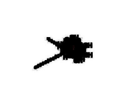 CCCCCCCCCCCCC/C=C/[C@@H](O)[C@H](CO[C@@H]1OC(CO)[C@@H](O[C@@H]2OC(CO)[C@H](O)[C@H](O[C@@H]3OC(CO)[C@@H](O[C@@H]4OC(CO)[C@H](O)[C@H](O[C@@H]5OC(CO)[C@@H](O[C@@H]6OC(CO)[C@H](O)[C@H](O[C@H]7OC(CO)[C@H](O)[C@H](O)C7NC(C)=O)C6O[C@H]6OC(C)[C@@H](O)C(O)[C@@H]6O)[C@H](O)C5NC(C)=O)C4O)[C@H](O)C3NC(C)=O)C2O)[C@H](O)C1O)NC(=O)CCCCCCCCCCCCCCCCCCCCCCC